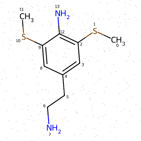 CSc1cc(CCN)cc(SC)c1N